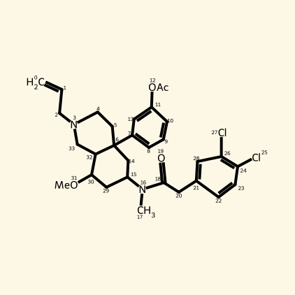 C=CCN1CCC2(c3cccc(OC(C)=O)c3)CC(N(C)C(=O)Cc3ccc(Cl)c(Cl)c3)CC(OC)C2C1